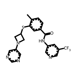 Cc1ccc(C(=O)Nc2cncc(C(F)(F)F)c2)cc1SC1CN(c2cncnc2)C1